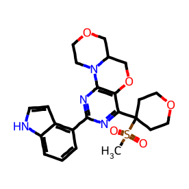 CS(=O)(=O)C1(c2nc(-c3cccc4[nH]ccc34)nc3c2OCC2COCCN32)CCOCC1